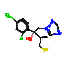 C[C@@H](CS)[C@](O)(Cn1cncn1)c1ccc(Cl)cc1Cl